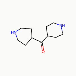 O=C(C1CCNCC1)C1CCNCC1